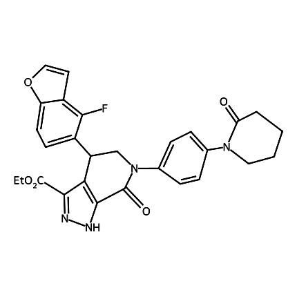 CCOC(=O)c1n[nH]c2c1C(c1ccc3occc3c1F)CN(c1ccc(N3CCCCC3=O)cc1)C2=O